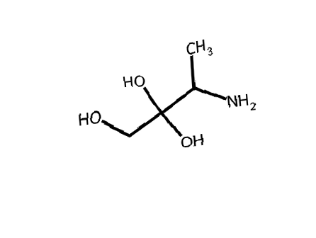 CC(N)C(O)(O)CO